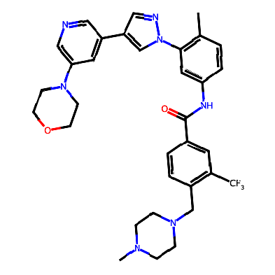 Cc1ccc(NC(=O)c2ccc(CN3CCN(C)CC3)c(C(F)(F)F)c2)cc1-n1cc(-c2cncc(N3CCOCC3)c2)cn1